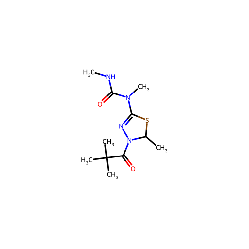 CNC(=O)N(C)C1=NN(C(=O)C(C)(C)C)C(C)S1